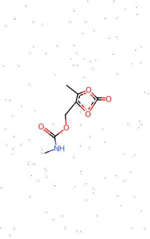 [CH2]NC(=O)OCc1oc(=O)oc1C